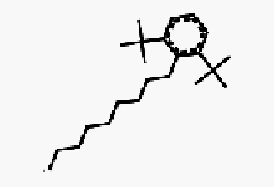 [CH2]CCCCCCCCc1c(C(C)(C)C)cccc1C(C)(C)C